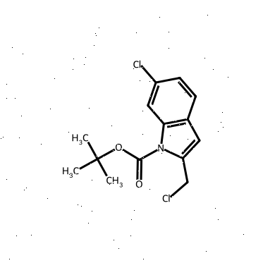 CC(C)(C)OC(=O)n1c(CCl)cc2ccc(Cl)cc21